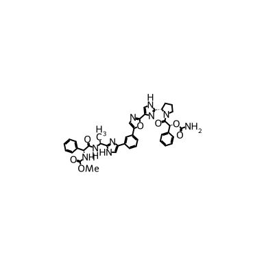 COC(=O)N[C@@H](C(=O)N[C@@H](C)c1nc(-c2cccc(-c3cnc(-c4c[nH]c([C@@H]5CCCN5C(=O)[C@H](OC(N)=O)c5ccccc5)n4)o3)c2)c[nH]1)c1ccccc1